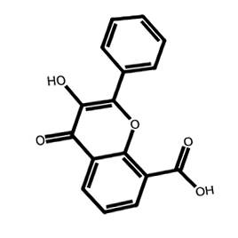 O=C(O)c1cccc2c(=O)c(O)c(-c3ccccc3)oc12